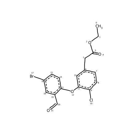 CCOC(=O)Cc1ccc(Cl)c(Oc2ccc(Br)cc2C=O)c1